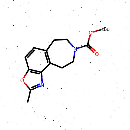 Cc1nc2c3c(ccc2o1)CCN(C(=O)OC(C)(C)C)CC3